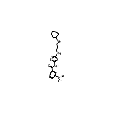 O=C(Nc1nnc(NCCCNC2CCCCC2)s1)c1cccc([N+](=O)[O-])c1